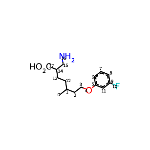 CC(CCOc1cccc(F)c1)CCC(CN)C(=O)O